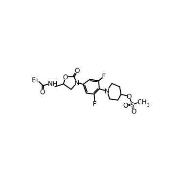 CCC(=O)NCC1CN(c2cc(F)c(N3CCC(OS(C)(=O)=O)CC3)c(F)c2)C(=O)O1